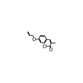 C=CCOc1ccc(C=C(C)C(=O)Cl)cc1